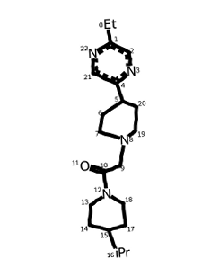 CCc1cnc(C2CCN(CC(=O)N3CCC(C(C)C)CC3)CC2)cn1